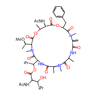 C=C1C(=O)NC(C)C(=O)N(C)C(C)C(=O)NC(C(OC(=O)C(NC(C)=O)C(O)C(C)C)C(C)C)C(=O)N(C)C(C(C)OC)C(=O)OC(C)C(NC(C)=O)C(=O)OC(Cc2ccccc2)C(=O)N1C